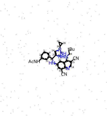 CC(=O)Nc1cccc([C@H](Nc2cc(C#N)c3ncc(C#N)c(NCC(C)(C)C)c3c2)C2=CN(C3CC3)NN2)c1